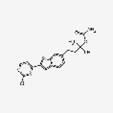 CC(C)(CCc1ccc2cc(-c3ccnc(Cl)n3)sc2c1)OC(N)=O